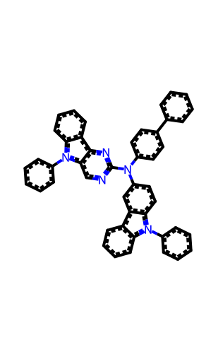 c1ccc(-c2ccc(N(c3ccc4c(c3)c3ccccc3n4-c3ccccc3)c3ncc4c(n3)c3ccccc3n4-c3ccccc3)cc2)cc1